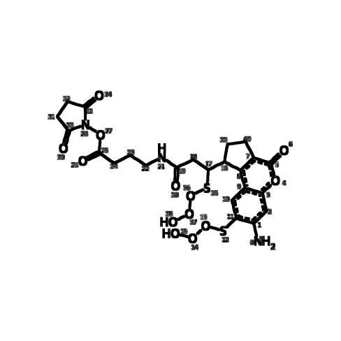 Nc1cc2oc(=O)c3c(c2cc1SOOO)C(C(CC(=O)NCCCC(=O)ON1C(=O)CCC1=O)SOOO)CC3